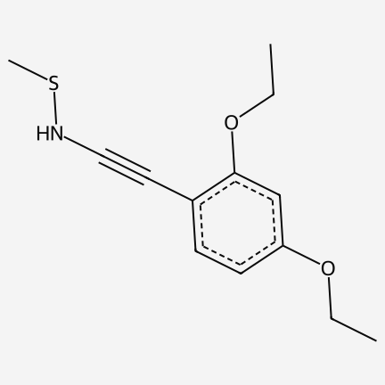 CCOc1ccc(C#CNSC)c(OCC)c1